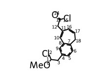 COC(Cl)Cc1ccc2c(c1)C=C(CC(=O)Cl)C=CC2